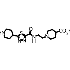 O=C(NCCN1CCC(C(=O)O)CC1)c1nnc(C2CCNCC2)s1